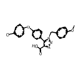 COc1ccc(Cn2nnc(C(=O)O)c2-c2ccc(Oc3ccc(Cl)cc3)cc2)cc1